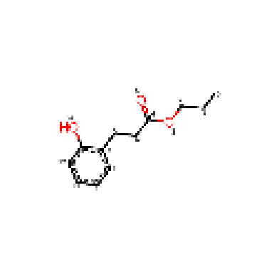 CCCOC(=O)CCc1ccccc1O